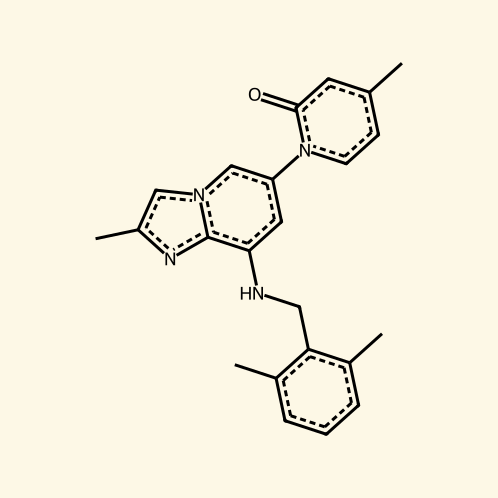 Cc1ccn(-c2cc(NCc3c(C)cccc3C)c3nc(C)cn3c2)c(=O)c1